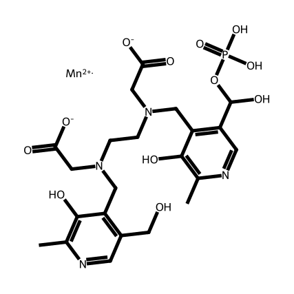 Cc1ncc(CO)c(CN(CCN(CC(=O)[O-])Cc2c(C(O)OP(=O)(O)O)cnc(C)c2O)CC(=O)[O-])c1O.[Mn+2]